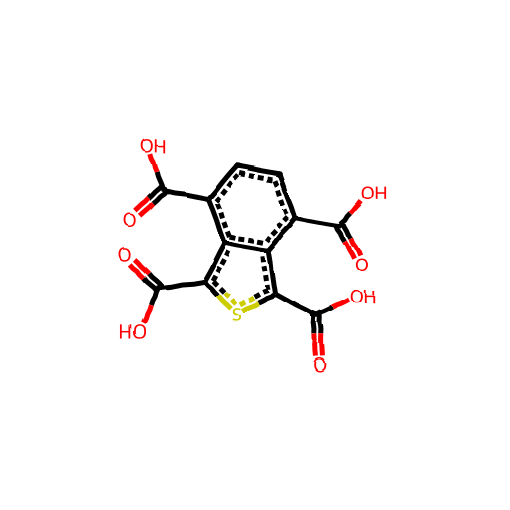 O=C(O)c1ccc(C(=O)O)c2c(C(=O)O)sc(C(=O)O)c12